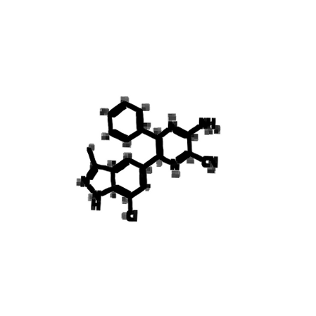 Cc1n[nH]c2c(Cl)cc(-c3nc(C#N)c(N)nc3-c3ccccc3)cc12